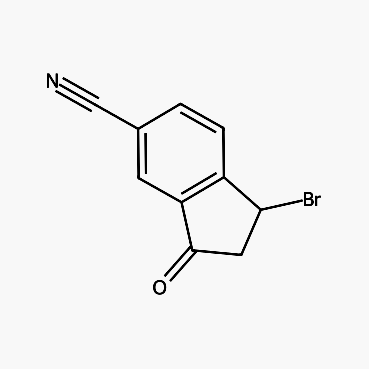 N#Cc1ccc2c(c1)C(=O)CC2Br